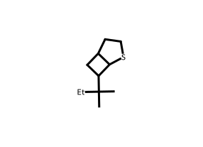 CCC(C)(C)C1CC2CCSC21